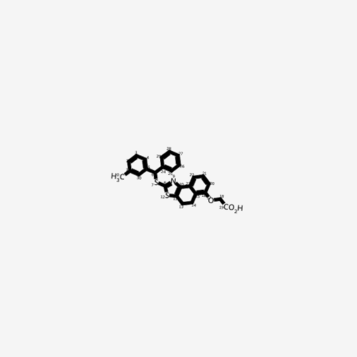 Cc1cccc(C(Sc2nc3c(s2)CCc2c(OCC(=O)O)cccc2-3)c2ccccc2)c1